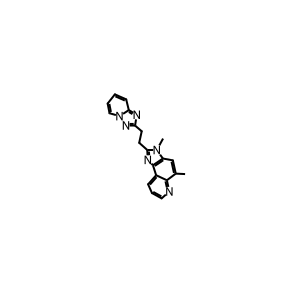 Cc1cc2c(nc(CCc3nc4ccccn4n3)n2C)c2cccnc12